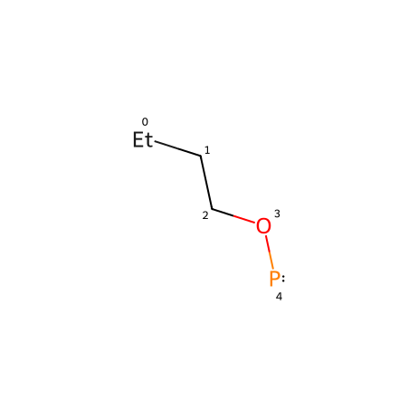 CCCCO[P]